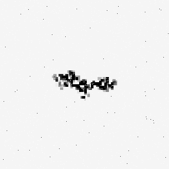 COc1cc(Cc2c(I)cnc(N)c2N)ccc1OCc1ccc(C(F)F)nc1